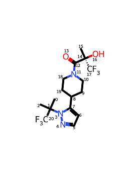 CC(C)(n1nccc1C1CCN(C(=O)[C@@](C)(O)C(F)(F)F)CC1)C(F)(F)F